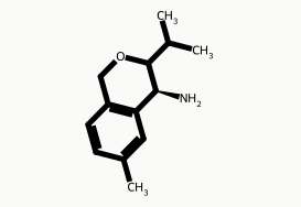 Cc1ccc2c(c1)[C@H](N)C(C(C)C)OC2